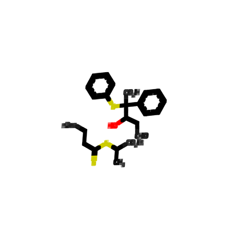 CCCCCCCCCCCCC(=S)SC(C)C(=O)OCC.O=CCC(O)C(Sc1ccccc1)(C(=O)O)c1ccccc1